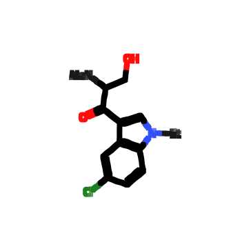 CCn1cc(C(=O)C(CO)NC)c2cc(Cl)ccc21